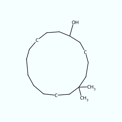 CC1(C)CCCCCCCCCCC(O)CCCC1